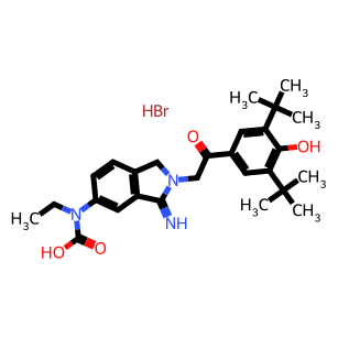 Br.CCN(C(=O)O)c1ccc2c(c1)C(=N)N(CC(=O)c1cc(C(C)(C)C)c(O)c(C(C)(C)C)c1)C2